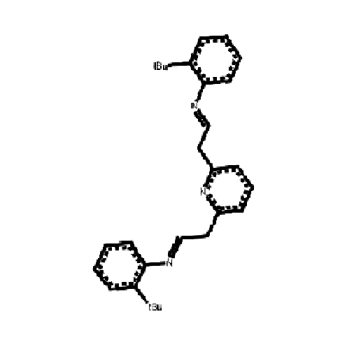 CC(C)(C)c1ccccc1N=CCc1cccc(CC=Nc2ccccc2C(C)(C)C)n1